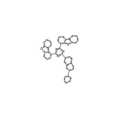 c1ccc(-c2ccc3ccc(-c4nc(-c5cccc6c5sc5ccccc56)nc(-c5cccc6oc7ccccc7c56)n4)cc3c2)cc1